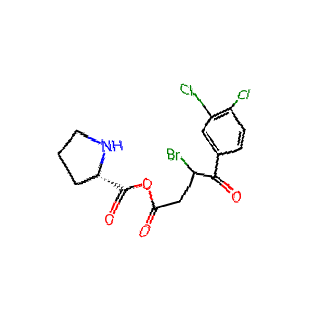 O=C(CC(Br)C(=O)c1ccc(Cl)c(Cl)c1)OC(=O)[C@@H]1CCCN1